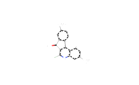 COc1ccc2c(c1)C(=O)c1c(Cl)nc3cc(OC)ccc3c1-2